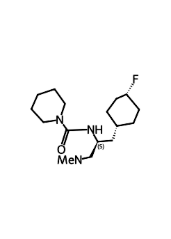 CNC[C@H](C[C@H]1CC[C@@H](F)CC1)NC(=O)N1CCCCC1